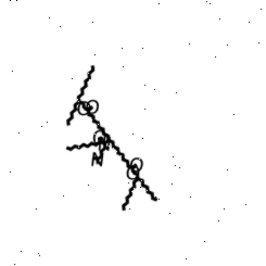 CCCCCCCCCC(CCCCCC)COC(=O)CCCCCCCCC(CCCCCCCCC(=O)OCC(CCCCCCC)CCCCCCCC)N(CCCN(C)C)C(=O)CCCCCCCC